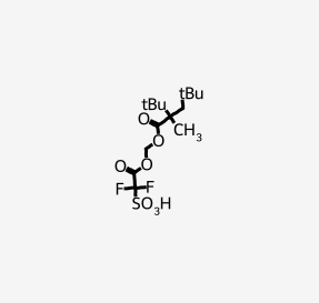 CC(C)(C)CC(C)(C(=O)OCOC(=O)C(F)(F)S(=O)(=O)O)C(C)(C)C